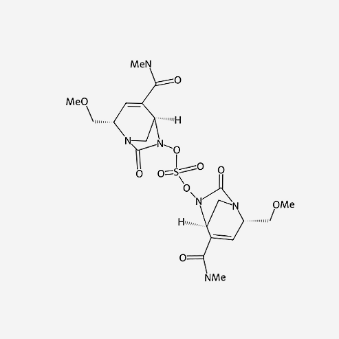 CNC(=O)C1=C[C@@H](COC)N2C[C@@H]1N(OS(=O)(=O)ON1C(=O)N3C[C@H]1C(C(=O)NC)=C[C@H]3COC)C2=O